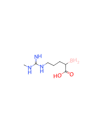 BC(CCCNC(=N)NC)C(=O)O